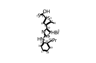 Br.Cc1sc(C(O)=S)cc1-c1csc(Nc2ccccc2C(C)C)n1